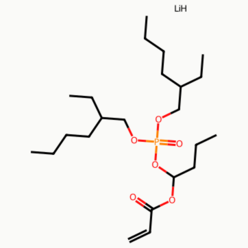 C=CC(=O)OC(CCC)OP(=O)(OCC(CC)CCCC)OCC(CC)CCCC.[LiH]